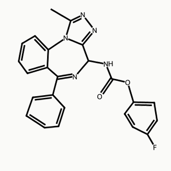 Cc1nnc2n1-c1ccccc1C(c1ccccc1)=NC2NC(=O)Oc1ccc(F)cc1